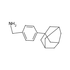 NCc1ccc(C23CC4CC(CC(C4)C2)C3)cc1